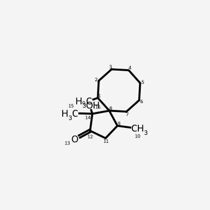 CC1CCCCCCC12C(C)CC(=O)C2(C)O